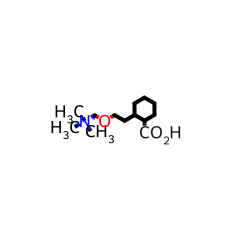 C[N+](C)(C)COCCC1CCCCC1C(=O)O